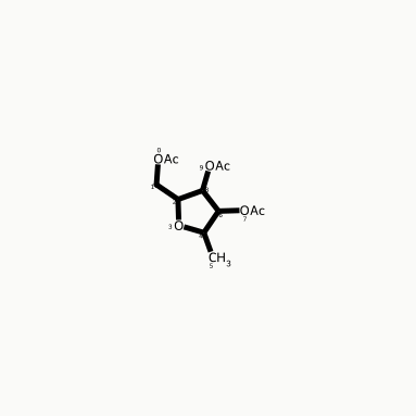 CC(=O)OCC1OC(C)C(OC(C)=O)C1OC(C)=O